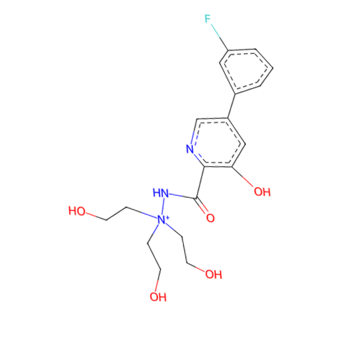 O=C(N[N+](CCO)(CCO)CCO)c1ncc(-c2cccc(F)c2)cc1O